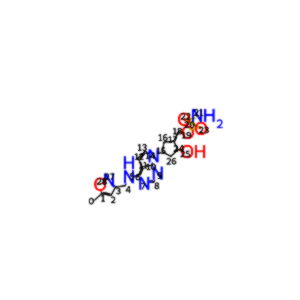 Cc1cc(CNc2ncnc3c2ccn3[C@@H]2C[C@@H](COS(N)(=O)=O)[C@@H](O)C2)no1